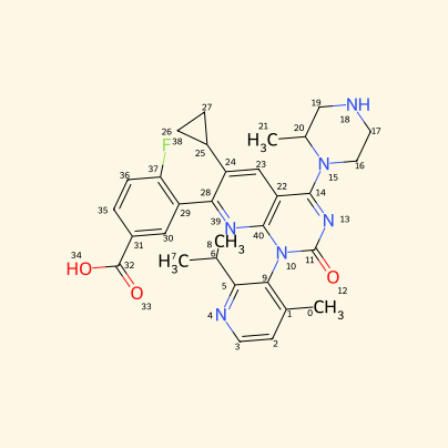 Cc1ccnc(C(C)C)c1-n1c(=O)nc(N2CCNCC2C)c2cc(C3CC3)c(-c3cc(C(=O)O)ccc3F)nc21